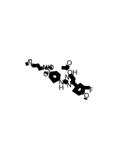 CC(=O)O.COc1ccc(-c2ccnc(Nc3ccc(S(=O)(=O)NCCCN(C)C)cc3)n2)cc1CF